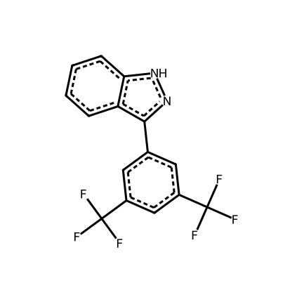 FC(F)(F)c1cc(-c2n[nH]c3ccccc23)cc(C(F)(F)F)c1